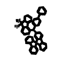 CC1(C)c2ccccc2-c2c(N(c3ccc(-c4ccccc4)cc3)c3ccc4c(c3)[Si]3(c5ccccc5-c5ccccc53)c3ccccc3-4)cccc21